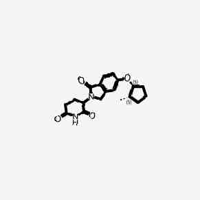 C[C@H]1CCC[C@@H]1Oc1ccc2c(c1)CN(C1CCC(=O)NC1=O)C2=O